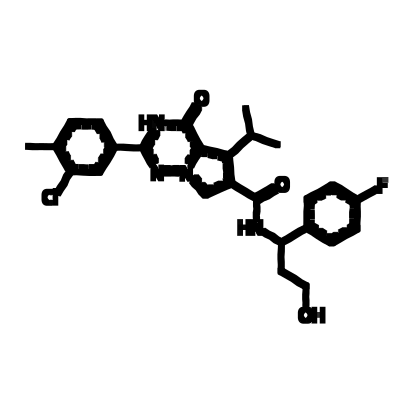 Cc1ccc(-c2nn3cc(C(=O)NC(CCO)c4ccc(F)cc4)c(C(C)C)c3c(=O)[nH]2)cc1Cl